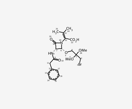 COC(CBr)(CO[C@@H]1[C@H](NC(=O)Cc2ccccc2)C(=O)N1C(C(=O)O)=C(C)C)OC